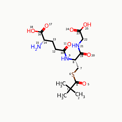 CC(C)(C)C(=O)SC[C@H](NC(=O)CC[C@H](N)C(=O)O)C(=O)NCC(=O)O